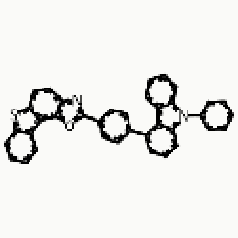 c1ccc(-n2c3ccccc3c3c(-c4ccc(-c5nc6ccc7sc8ccccc8c7c6o5)cc4)cccc32)cc1